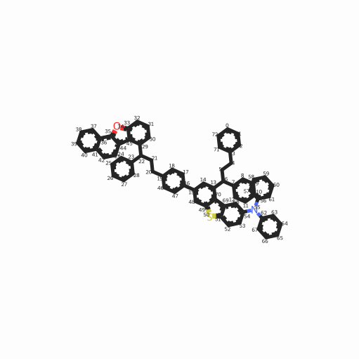 c1ccc(CCC(c2ccccc2)c2cc(-c3ccc(CCC(c4ccccc4)c4cccc5oc6c7ccccc7ccc6c45)cc3)cc3sc4ccc(N(c5ccccc5)c5ccccc5)cc4c23)cc1